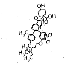 CCN(C)CCCOc1cc(-c2nc(C(=O)NC3(C(=O)O)CCC(O)CC3)ccc2-c2ccc(C)cc2C)ccc1Cl.Cl